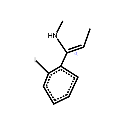 C/C=C(\NC)c1ccccc1I